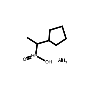 CC(C1CCCC1)[PH](=O)O.[AlH3]